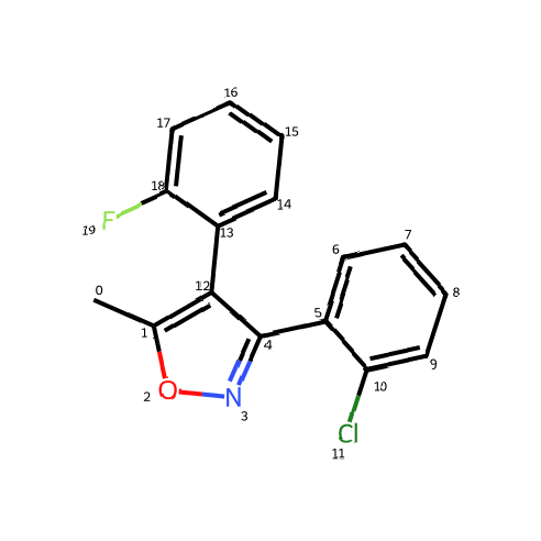 Cc1onc(-c2ccccc2Cl)c1-c1ccccc1F